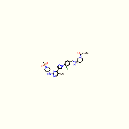 COC(=O)N1CCC[C@H](NCc2ccc(-n3cc(-c4nc(NC5CCN(S(C)(=O)=O)CC5)ncc4C#N)cn3)c(Cl)c2)C1